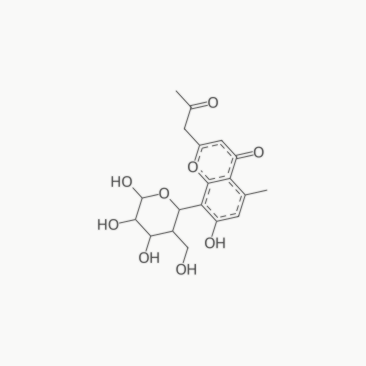 CC(=O)Cc1cc(=O)c2c(C)cc(O)c(C3OC(O)C(O)C(O)C3CO)c2o1